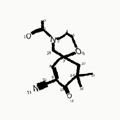 CC(=O)N1CCOC2(C=C(C#N)C(=O)C(C)(C)C2)C1